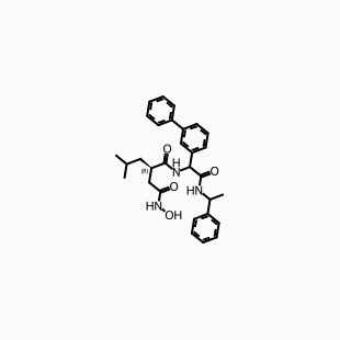 CC(C)C[C@H](CC(=O)NO)C(=O)NC(C(=O)NC(C)c1ccccc1)c1cccc(-c2ccccc2)c1